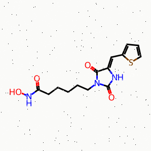 O=C(CCCCCN1C(=O)NC(=Cc2cccs2)C1=O)NO